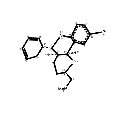 CNC[C@H]1CC[C@@H]2[C@H](O1)c1cc(C(C)C)ccc1N[C@H]2C1C=CC=CC1